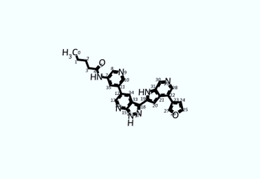 CCCCC(=O)Nc1cncc(-c2cnc3[nH]nc(-c4cc5c(-c6ccoc6)cncc5[nH]4)c3c2)c1